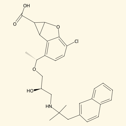 C[C@@H](OC[C@H](O)CNC(C)(C)Cc1ccc2ccccc2c1)c1ccc(Cl)c2c1C1C(O2)C1C(=O)O